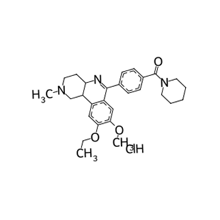 CCOc1cc2c(cc1OC)C(c1ccc(C(=O)N3CCCCC3)cc1)=NC1CCN(C)CC21.Cl